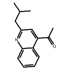 CC(=O)c1cc(CC(C)C)nc2ccccc12